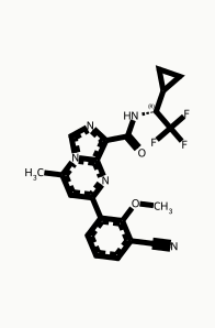 COc1c(C#N)cccc1-c1cc(C)n2cnc(C(=O)N[C@H](C3CC3)C(F)(F)F)c2n1